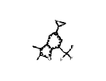 Cc1oc2c(C(F)(F)F)cc(C3CC3)cc2c1C